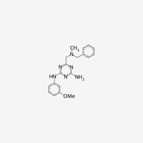 COc1cccc(Nc2nc(N)nc(CN(C)Cc3ccccc3)n2)c1